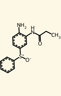 CCC(=O)Nc1cc([S+]([O-])c2ccccc2)ccc1N